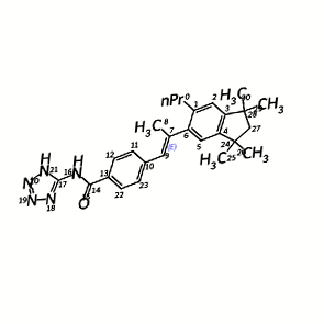 CCCc1cc2c(cc1/C(C)=C/c1ccc(C(=O)Nc3nnn[nH]3)cc1)C(C)(C)CC2(C)C